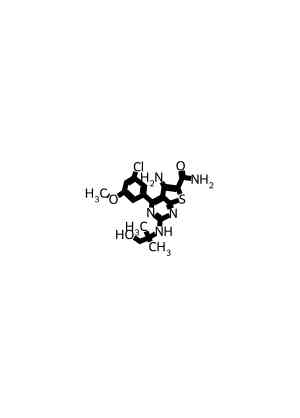 COc1cc(Cl)cc(-c2nc(NC(C)(C)CO)nc3sc(C(N)=O)c(N)c23)c1